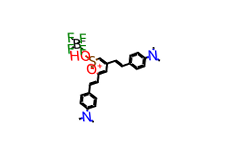 CN(C)c1ccc(C=CC2=CS(O)=[O+]C(C=Cc3ccc(N(C)C)cc3)=C2)cc1.F[B-](F)(F)F